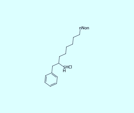 CCCCCCCCCCCCCCCC(S)Cc1ccccc1.Cl